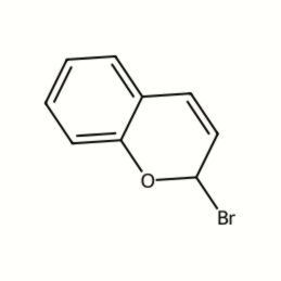 BrC1C=Cc2ccccc2O1